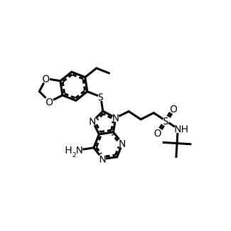 CCc1cc2c(cc1Sc1nc3c(N)ncnc3n1CCCS(=O)(=O)NC(C)(C)C)OCO2